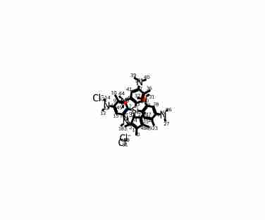 CC1=C(C)[C]([Ti+3])([Si](c2cc(C)c(N(C)C)cc2N(C)C)(c2cc(C)c(N(C)C)cc2N(C)C)c2cc(C)c(N(C)C)cc2N(C)C)C(C)=C1C.[Cl-].[Cl-].[Cl-]